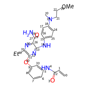 C=CC(=O)Nc1cccc(Oc2nc(Nc3ccc(N(C)CCOC)cc3)c(C(N)=O)nc2CC)c1